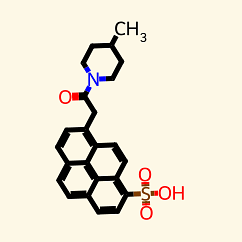 CC1CCN(C(=O)Cc2ccc3ccc4ccc(S(=O)(=O)O)c5ccc2c3c45)CC1